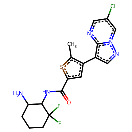 Cc1sc(C(=O)NC2C(N)CCCC2(F)F)cc1-c1cnn2cc(Cl)cnc12